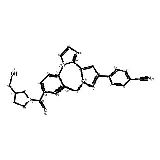 N#Cc1ccc(-c2cc3n(c2)Cc2cc(C(=O)N4CCC(CO)C4)ccc2-n2ccnc2-3)cc1